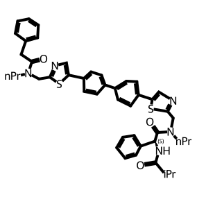 CCCN(Cc1ncc(-c2ccc(-c3ccc(-c4cnc(CN(CCC)C(=O)[C@@H](NC(=O)C(C)C)c5ccccc5)s4)cc3)cc2)s1)C(=O)Cc1ccccc1